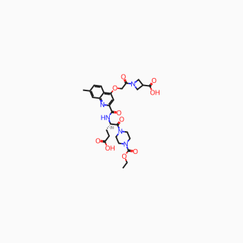 CCOC(=O)N1CCN(C(=O)[C@H](CCC(=O)O)NC(=O)c2cc(OCC(=O)N3CC(C(=O)O)C3)c3ccc(C)cc3n2)CC1